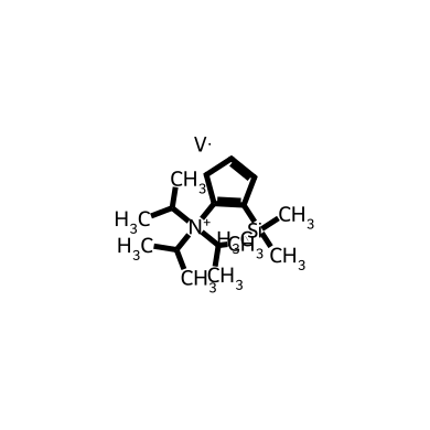 CC(C)[N+](C1=C([Si](C)(C)C)C=CC1)(C(C)C)C(C)C.[V]